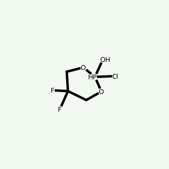 O[PH]1(Cl)OCC(F)(F)CO1